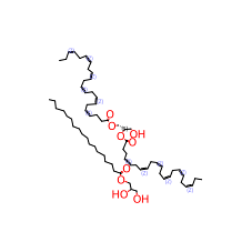 CC/C=C\C/C=C\C/C=C\C/C=C\C/C=C\C/C=C\CCC(=O)OC[C@H](CO)OC(=O)CC/C=C\C/C=C\C/C=C\C/C=C\C/C=C\C/C=C\CC.CCCCCCCCCCCCCCCCCC(=O)OCC(O)CO